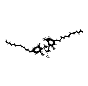 CCCCCCCCCCCCc1cc(Br)c(N2C=[N+](c3c(Br)cc(CCCCCCCCCCCC)cc3Br)CC2)c(Br)c1.[Cl-]